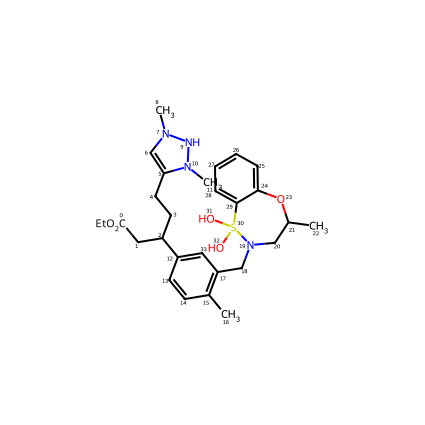 CCOC(=O)CC(CCC1=CN(C)NN1C)c1ccc(C)c(CN2CC(C)Oc3ccccc3S2(O)O)c1